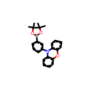 CC1(C)OB(c2cccc(N3c4ccccc4Oc4ccccc43)c2)OC1(C)C